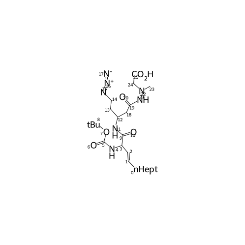 CCCCCCCC=CC(NC(=O)OC(C)(C)C)C(=O)NC(CCN=[N+]=[N-])CC(=O)NN(C)CC(=O)O